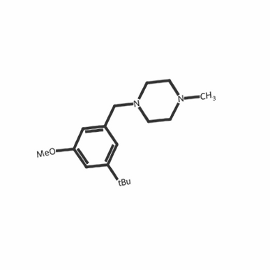 COc1cc(CN2CCN(C)CC2)cc(C(C)(C)C)c1